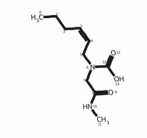 CCC/C=C\CN(CC(=O)NC)C(=O)O